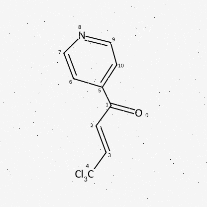 O=C(C=CC(Cl)(Cl)Cl)c1ccncc1